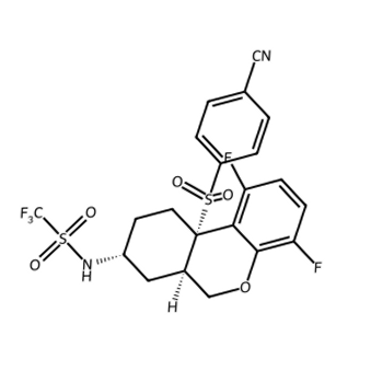 N#Cc1ccc(S(=O)(=O)[C@@]23CC[C@@H](NS(=O)(=O)C(F)(F)F)C[C@@H]2COc2c(F)ccc(F)c23)cc1